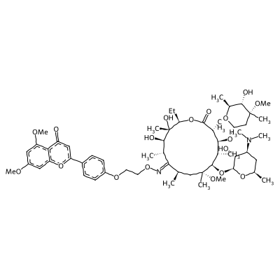 CC[C@H]1OC(=O)[C@H](C)[C@@H](O[C@H]2C[C@@](C)(OC)[C@@H](O)[C@H](C)O2)[C@H](C)[C@@H](O[C@@H]2O[C@H](C)C[C@H](N(C)C)[C@H]2O)[C@](C)(OC)C[C@@H](C)/C(=N/OCCOc2ccc(-c3cc(=O)c4c(OC)cc(OC)cc4o3)cc2)[C@H](C)[C@@H](O)[C@]1(C)O